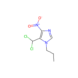 CCCn1cnc([N+](=O)[O-])c1C(Cl)Cl